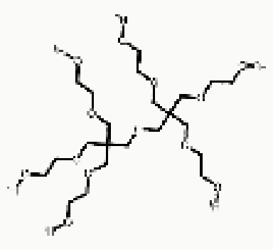 [3H]OCCOCC(COCCO[3H])(COCCO[3H])COCC(COCCO[3H])(COCCO[3H])COCCO[3H]